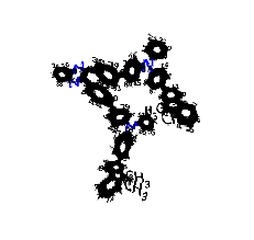 CC1(C)c2ccccc2-c2ccc(-c3ccc(N(c4ccccc4)c4ccc(-c5ccc(-c6nc7ccccc7nc6-c6ccc(-c7ccc(N(c8ccccc8)c8ccc(-c9ccc%10c(c9)C(C)(C)c9ccccc9-%10)cc8)cc7)cc6)cc5)cc4)cc3)cc21